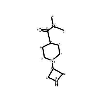 CN(C)C(=O)C1CCN(C2CNC2)CC1